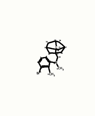 Cc1c(Br)cccc1N(C)CC12CC3CC(CC(C3)C1)C2